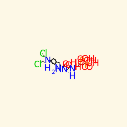 C[C@H](NC(=O)[C@@H](N)Cc1ccc(N(CCCl)CCCl)cc1)C(=O)NCCCCC(O)(P(=O)(O)O)P(=O)(O)O